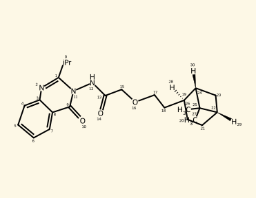 CC(C)c1nc2ccccc2c(=O)n1NC(=O)COCC[C@@H]1CC[C@H]2C[C@@H]1C2(C)C